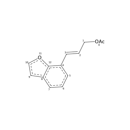 CC(=O)OCC=Cc1cccc2ccoc12